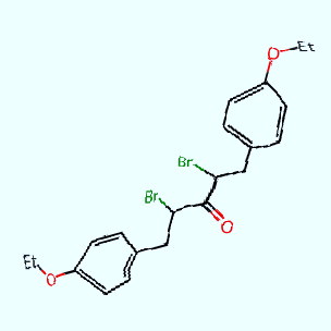 CCOc1ccc(CC(Br)C(=O)C(Br)Cc2ccc(OCC)cc2)cc1